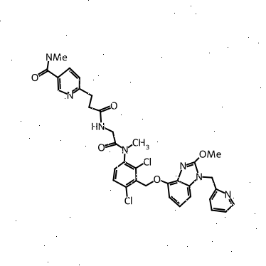 CNC(=O)c1ccc(CCC(=O)NCC(=O)N(C)c2ccc(Cl)c(COc3cccc4c3nc(OC)n4Cc3ccccn3)c2Cl)nc1